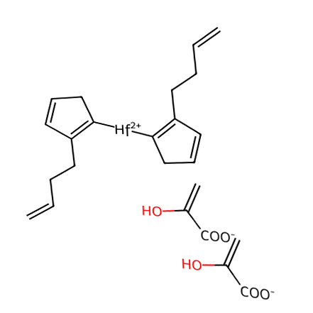 C=C(O)C(=O)[O-].C=C(O)C(=O)[O-].C=CCCC1=[C]([Hf+2][C]2=C(CCC=C)C=CC2)CC=C1